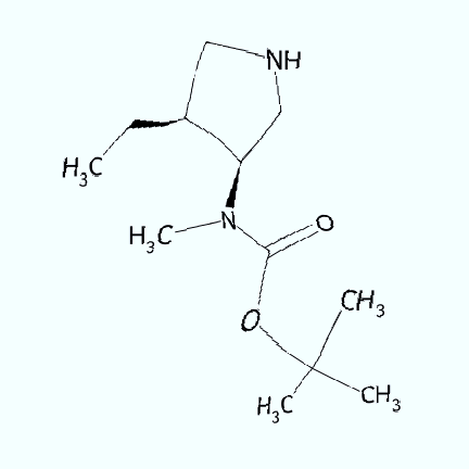 CC[C@H]1CNC[C@H]1N(C)C(=O)OC(C)(C)C